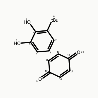 CC(C)(C)c1cccc(O)c1O.O=C1C=CC(=O)C=C1